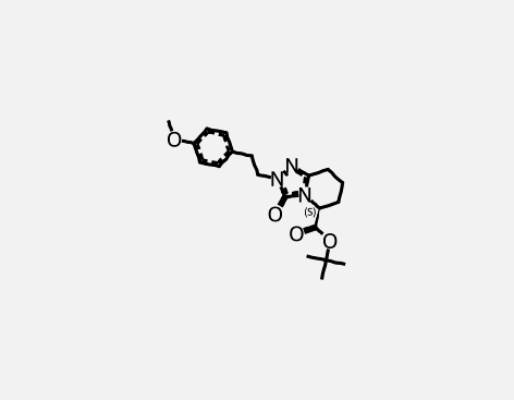 COc1ccc(CCn2nc3n(c2=O)[C@H](C(=O)OC(C)(C)C)CCC3)cc1